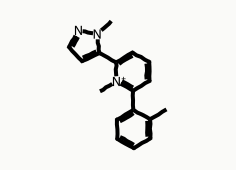 Cc1ccccc1-c1cccc(-c2ccnn2C)[n+]1C